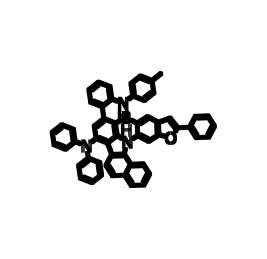 Cc1ccc(Nc2ccccc2-c2cc(N(c3ccccc3)c3ccccc3)c3c4ccc5ccccc5c4n4c3c2Bc2cc3cc(-c5ccccc5)oc3cc2-4)cc1